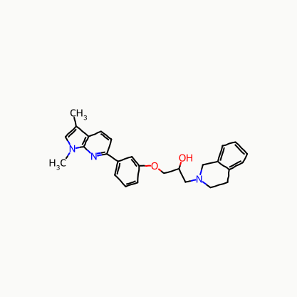 Cc1cn(C)c2nc(-c3cccc(OCC(O)CN4CCc5ccccc5C4)c3)ccc12